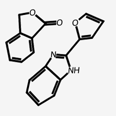 O=C1OCc2ccccc21.c1coc(-c2nc3ccccc3[nH]2)c1